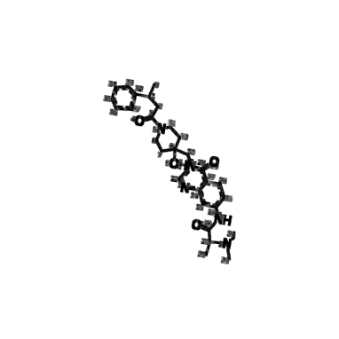 CC(CC(=O)N1CCC(O)(Cn2cnc3cc(NC(=O)C(C)N(C)C)ccc3c2=O)CC1)c1ccccc1